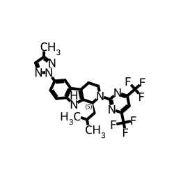 Cc1cnn(-c2ccc3[nH]c4c(c3c2)CCN(c2nc(C(F)(F)F)cc(C(F)(F)F)n2)[C@H]4CC(C)C)n1